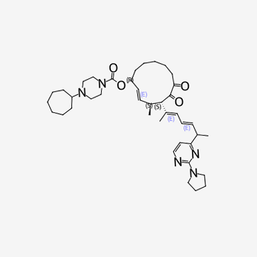 C/C(=C\C=C\C(C)c1ccnc(N2CCCC2)n1)[C@H]1C(=O)C(=O)CCCCC[C@@H](OC(=O)N2CCN(C3CCCCCC3)CC2)/C=C/[C@@H]1C